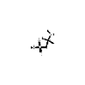 CNC(C)(C)CS(=O)(=O)O